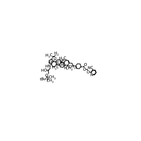 C=C(C)[C@@H]1CC[C@]2(NC[C@@H](O)CO[Si](C)(C)C(C)(C)C)CC[C@]3(C)[C@H](CC[C@@H]4[C@@H]5[C@@H](CC[C@]43C)C(C)(C)C(CCC3=CC[C@H](C(=O)OCOc4ncccc4C#N)CC3)=C[C@@H]5C)[C@@H]12